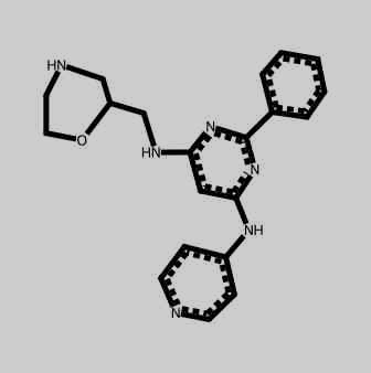 c1ccc(-c2nc(NCC3CNCCO3)cc(Nc3ccncc3)n2)cc1